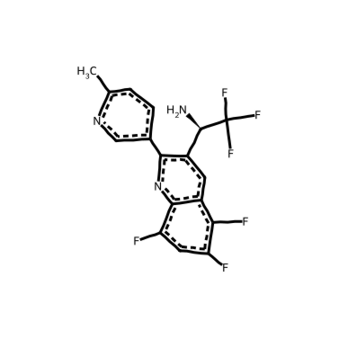 Cc1ccc(-c2nc3c(F)cc(F)c(F)c3cc2[C@@H](N)C(F)(F)F)cn1